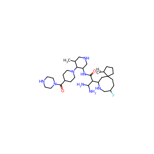 CC1CNCC(NC(=O)C(C(N)N)C2CC3(CCCC3C)CCC(F)CN2)C1N1CCC(C(=O)N2CCNCC2)CC1